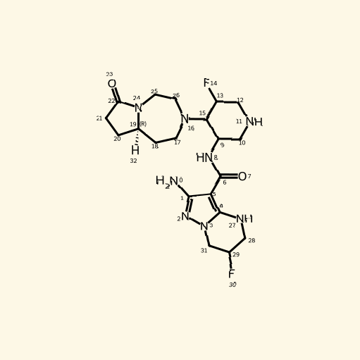 Nc1nn2c(c1C(=O)NC1CNCC(F)C1N1CC[C@H]3CCC(=O)N3CC1)NCC(F)C2